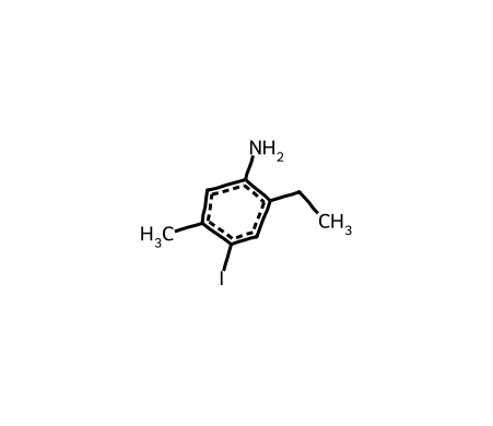 CCc1cc(I)c(C)cc1N